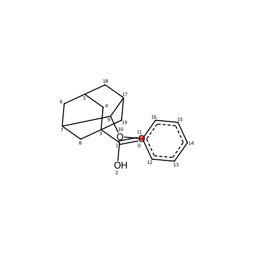 O=C(O)C12CC3CC(C1)C(Oc1ccccc1)C(C3)C2